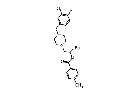 Cc1ccc(C(=O)NC(CN2CCN(Cc3ccc(F)c(Cl)c3)CC2)C(C)(C)C)cc1